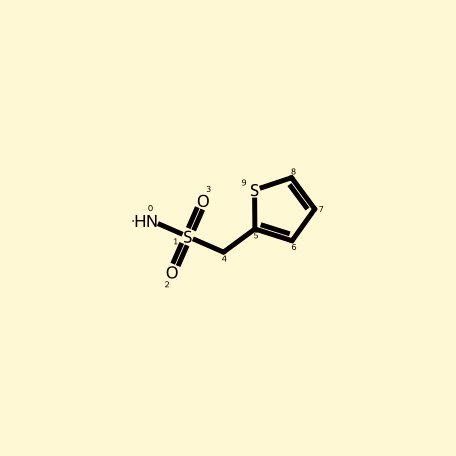 [NH]S(=O)(=O)Cc1cccs1